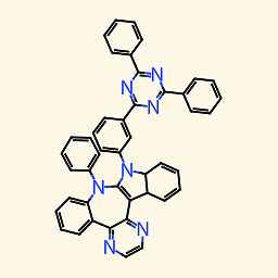 C1=CC2C3=C(N(c4ccccc4)c4ccccc4-c4nccnc43)N(c3cccc(-c4nc(-c5ccccc5)nc(-c5ccccc5)n4)c3)C2C=C1